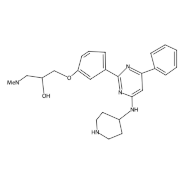 CNCC(O)COc1cccc(-c2nc(NC3CCNCC3)cc(-c3ccccc3)n2)c1